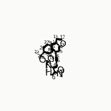 Cc1noc(C#Cc2ccc3ccoc3c2)c1NC(=O)O[C@H](C)c1ccccc1